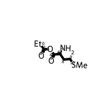 CCC(=O)OC(=O)[C@@H](N)CCSC